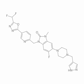 Cn1c(=O)n(Cc2ccc(-c3nnc(C(F)F)o3)cn2)c2cc(F)c(N3CCN(Cc4cn[nH]c4)CC3)cc21